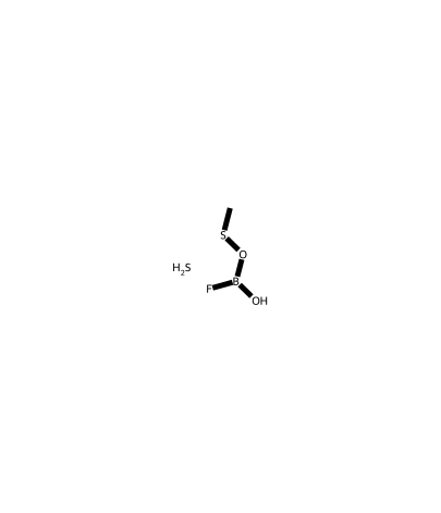 CSOB(O)F.S